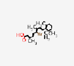 CC(C=CC(Br)=C(C)C=CC1=C(C)CCCC1(C)C)=CC(=O)O